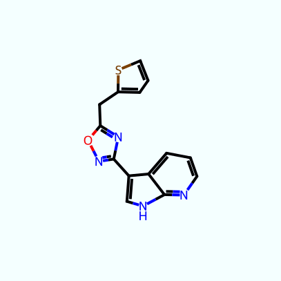 c1csc(Cc2nc(-c3c[nH]c4ncccc34)no2)c1